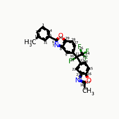 Cc1cccc(-c2nc3cc(C(F)(c4ccc5oc(C)nc5c4)C(F)(F)F)ccc3o2)c1